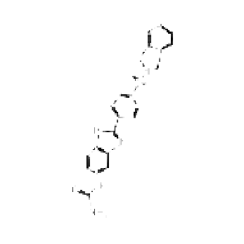 NC(=O)Oc1ccc2[nH]c(-c3ccc(S(=O)(=O)N4Cc5ccccc5C4)cc3)nc2c1